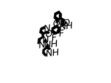 COc1ccccc1CS(=O)(=O)Nc1ccc(Oc2ncccc2-c2ccnc(NC3CCCNC3)n2)c(F)c1F